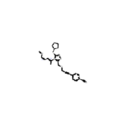 C=N/C=C\C=C(/C)n1c(COCC#Cc2ccc(C#N)cc2)nnc1SC1CCCC1